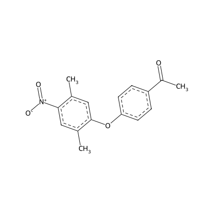 CC(=O)c1ccc(Oc2cc(C)c([N+](=O)[O-])cc2C)cc1